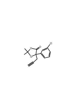 C#CCC1(c2cccc(Cl)c2)OC(C)(C)OC1=O